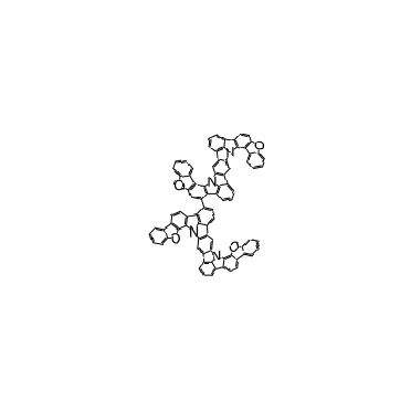 c1ccc2c(c1)oc1c2ccc2c3cccc4c5cc6c(cc5n(c43)c21)c1ccc(-c2cc3oc4ccccc4c3c3c2c2cccc4c5cc7c(cc5n3c42)c2cccc3c4ccc5oc8ccccc8c5c4n7c23)c2c3ccc4c5ccccc5oc4c3n6c12